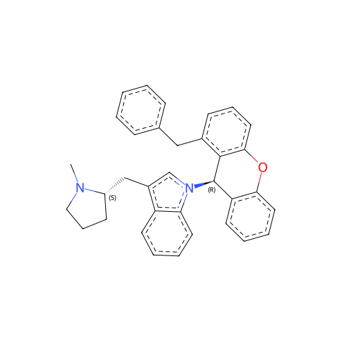 CN1CCC[C@H]1Cc1cn([C@@H]2c3ccccc3Oc3cccc(Cc4ccccc4)c32)c2ccccc12